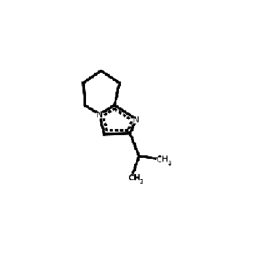 CC(C)c1cn2c(n1)CCCC2